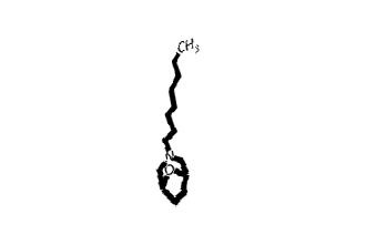 CCCCCCCCN1CC2CCC(C1)O2